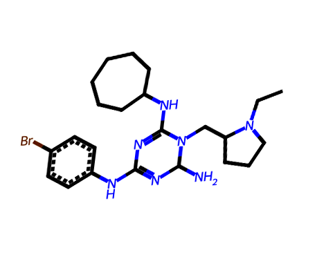 CCN1CCCC1CN1C(NC2CCCCCC2)=NC(Nc2ccc(Br)cc2)=NC1N